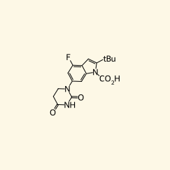 CC(C)(C)c1cc2c(F)cc(N3CCC(=O)NC3=O)cc2n1C(=O)O